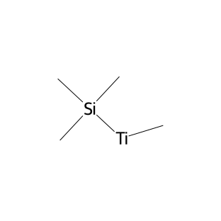 [CH3][Ti][Si](C)(C)C